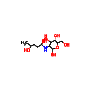 CC(O)CCC(O)NC1C(O)[C@H](O)C(CO)O[C@H]1O